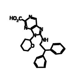 O=C(O)c1ncc2nc(NCC(c3ccccc3)c3ccccc3)n(C3CCCCO3)c2n1